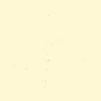 C=CCOC(=O)CC(CC(=O)NC[C@H](O)[C@H]1OC(C)(C)C[C@@H]1[C@H]1COC(C)(C)O1)NC(O)OCC1c2ccccc2-c2ccccc21